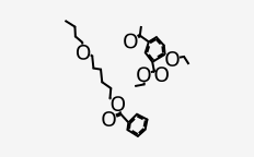 CCCCOCCCCCCOC(=O)c1ccccc1.CCOC(=O)c1cc(C(C)=O)ccc1OCC